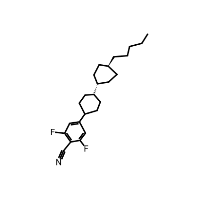 CCCCC[C@H]1CC[C@H](C2CCC(c3cc(F)c(C#N)c(F)c3)CC2)CC1